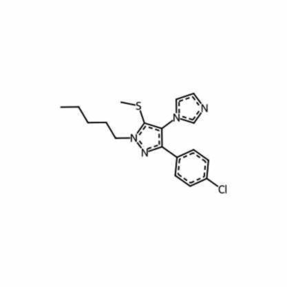 CCCCCn1nc(-c2ccc(Cl)cc2)c(-n2ccnc2)c1SC